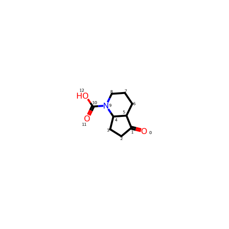 O=C1CCC2C1CCCN2C(=O)O